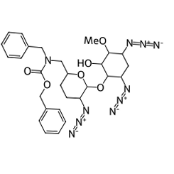 COC1C(N=[N+]=[N-])CC(N=[N+]=[N-])C(OC2OC(CN(Cc3ccccc3)C(=O)OCc3ccccc3)CCC2N=[N+]=[N-])C1O